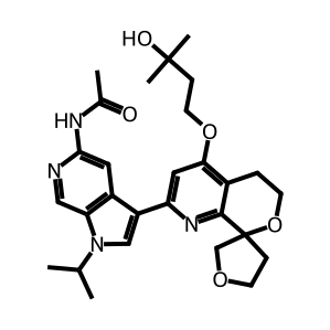 CC(=O)Nc1cc2c(-c3cc(OCCC(C)(C)O)c4c(n3)C3(CCOC3)OCC4)cn(C(C)C)c2cn1